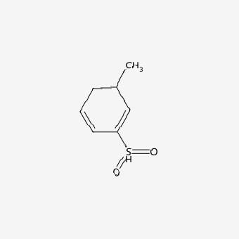 CC1C=C([SH](=O)=O)C=CC1